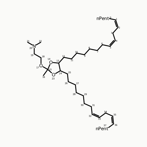 CCCCC/C=C\C/C=C\CCCCCCCC1OC(C)(OCCN(C)C)OC1CCCCCCC/C=C\C/C=C\CCCCC